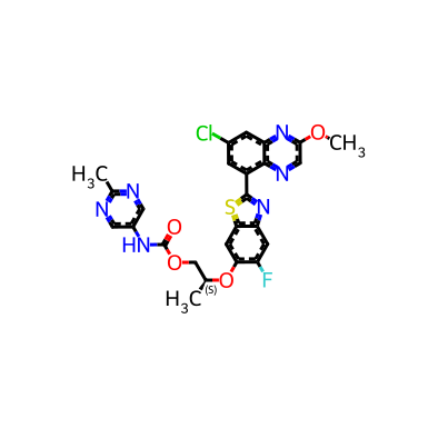 COc1cnc2c(-c3nc4cc(F)c(O[C@@H](C)COC(=O)Nc5cnc(C)nc5)cc4s3)cc(Cl)cc2n1